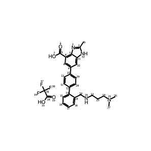 Cc1nc2c(C(=O)O)cc(-c3ccc(-c4ccccc4CNCCCN(C)C)cc3)cc2[nH]1.O=C(O)C(F)(F)F